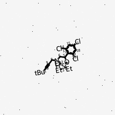 CC[Si](CC)(CC)OC(CNCC#CC(C)(C)C)c1c(Cl)cc(Cl)cc1Cl